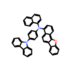 c1ccc2c(N(c3ccc(-n4c5ccccc5c5ccccc54)cc3)c3cccc4c3ccc3c5ccccc5oc43)cccc2c1